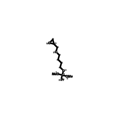 CO[Si](OC)(OCCCCOCC1CO1)C(C)C